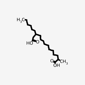 CCCCCCC(CCCCCCCCCC(C)C(=O)O)CC(=O)O